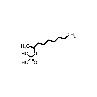 CCCCCCCC(C)OP(=O)(O)O